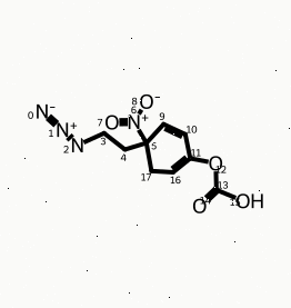 [N-]=[N+]=NCCC1([N+](=O)[O-])C=CC(OC(=O)O)=CC1